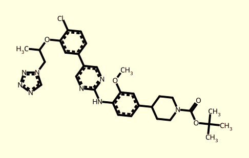 COc1cc(C2CCN(C(=O)OC(C)(C)C)CC2)ccc1Nc1ncc(-c2ccc(Cl)c(OC(C)Cn3cnnn3)c2)cn1